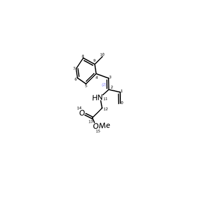 C=C/C(=C/c1ccccc1C)NCC(=O)OC